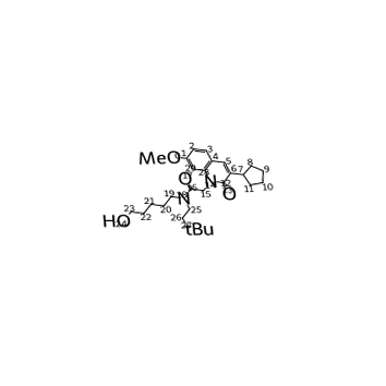 COc1ccc2cc(C3CCCC3)c(=O)n(CC(=O)N(CCCCCO)CCC(C)(C)C)c2c1